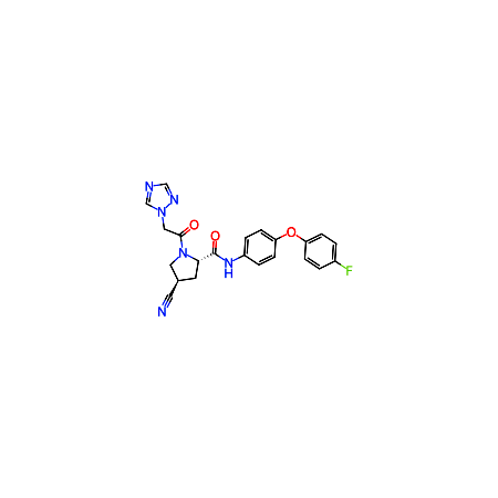 N#C[C@@H]1C[C@@H](C(=O)Nc2ccc(Oc3ccc(F)cc3)cc2)N(C(=O)Cn2cncn2)C1